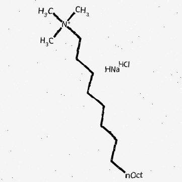 CCCCCCCCCCCCCCCC[N+](C)(C)C.Cl.[NaH]